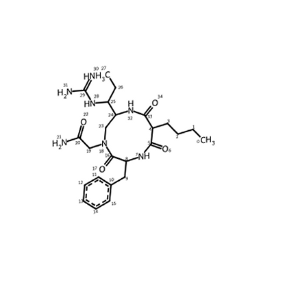 CCCCC1C(=O)NC(Cc2ccccc2)C(=O)N(CC(N)=O)CC(C(CC)NC(=N)N)NC1=O